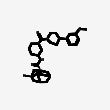 COc1cccc(C2CCN(C(=O)N3CCC[C@H](NC(=O)[C@@]45CC6CC(C4)C(O)[C@H](C6)C5)C3)CC2)c1